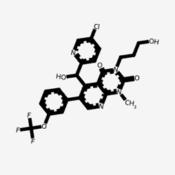 Cn1c(=O)n(CCCO)c(=O)c2c(C(O)c3ccc(Cl)cn3)c(-c3cccc(OC(F)(F)F)c3)cnc21